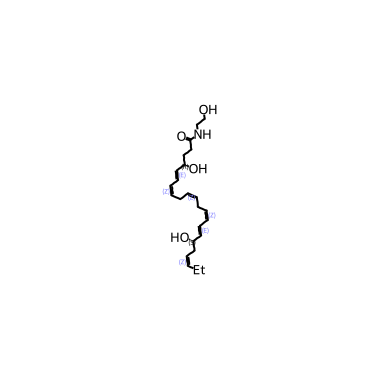 CC/C=C\C[C@H](O)/C=C/C=C\C/C=C\C/C=C\C=C\[C@H](O)CCC(=O)NCCO